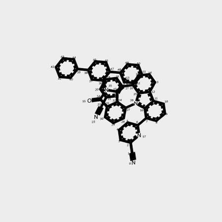 N#Cc1cccc(-c2cccc3c4cccc(-c5cccc(C#N)n5)c4n(-c4cccc5c4C(=O)N(c4cc(-c6ccccc6)ccc4-c4ccccc4)C5=O)c23)n1